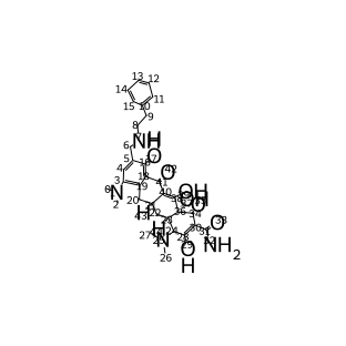 CN(C)c1cc(CNCCc2ccccc2)c(O)c2c1C[C@H]1C[C@H]3C(N(C)C)C(O)=C(C(N)=O)C(=O)[C@]3(O)C(O)=C1C2=O